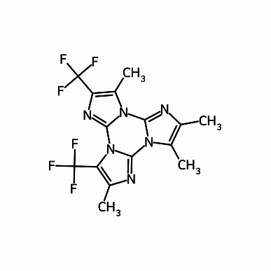 Cc1nc2n(c1C)c1nc(C)c(C(F)(F)F)n1c1nc(C(F)(F)F)c(C)n21